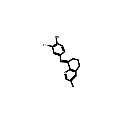 Cc1cnc2c(c1)CCCC2=Cc1ccc(O)c(O)c1